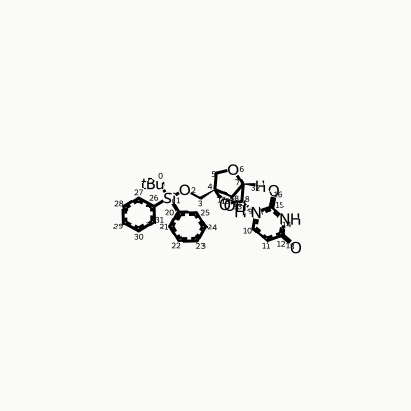 CC(C)(C)[Si](OC[C@]12CO[C@H]([C@H](n3ccc(=O)[nH]c3=O)O1)[C@H]2O)(c1ccccc1)c1ccccc1